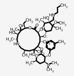 CCCNC[C@]1(O)[C@H](C)O[C@@H](O[C@H]2[C@H](C)[C@@H](O[C@@H]3O[C@H](C)C[C@H](N(C)C)[C@H]3Oc3cccc(C)c3)[C@](C)(O)C[C@@H](C)CN[C@H](C)[C@@H](O)[C@](C)(O)[C@@H](CC)OC(=O)[C@@H]2C)C[C@@]1(C)OC